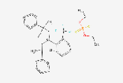 CC(C)([CH2][Sn+]([CH2]C(C)(C)c1ccccc1)[c]1ccccc1C(F)(F)F)c1ccccc1.CCOP(=S)([S-])OCC